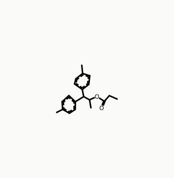 CCC(=O)OC(C)C(c1ccc(C)cc1)c1ccc(C)cc1